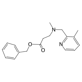 Cc1cccnc1CN(C)CCC(=O)OCc1ccccc1